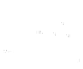 COc1ccc(CNc2nc(Nc3cccc(Cl)c3)nc3ccccc23)cc1